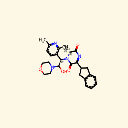 CC[C@H](C)[C@@H]1C(=O)N=C(C2Cc3ccccc3C2)C(=O)N1[C@H](c1ccc(C)nc1C)C(O)N1CCOCC1